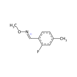 CO/N=C/c1ccc(C)cc1F